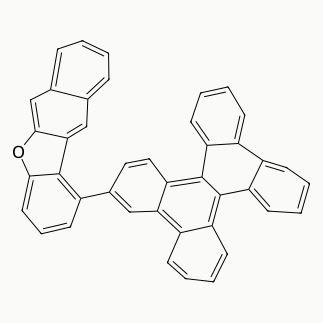 c1ccc2cc3c(cc2c1)oc1cccc(-c2ccc4c(c2)c2ccccc2c2c5ccccc5c5ccccc5c42)c13